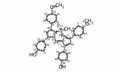 COc1ccc(C2=N/C(=N\c3c(-c4ccc(O)cc4)cc(-c4ccc(OC)cc4)n3S(C)(F)F)C(c3ccc(O)cc3)=C2)cc1